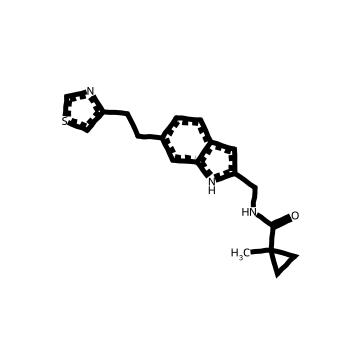 CC1(C(=O)NCc2cc3ccc(CCc4cscn4)cc3[nH]2)CC1